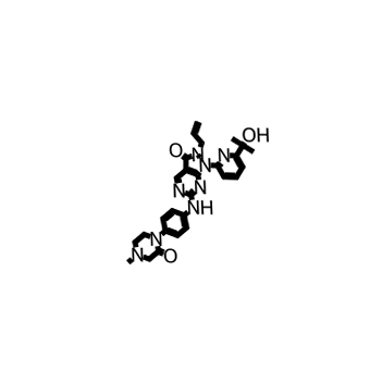 C=CCn1c(=O)c2cnc(Nc3ccc(N4CCN(C)CC4=O)cc3)nc2n1-c1cccc(C(C)(C)O)n1